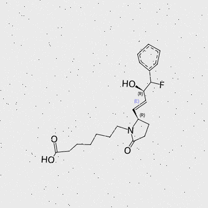 O=C(O)CCCCCCN1C(=O)CC[C@@H]1/C=C/[C@@H](O)C(F)c1ccccc1